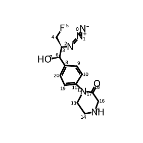 [N-]=[N+]=N[C@H](CF)[C@H](O)c1ccc(N2CCNCC2=O)cc1